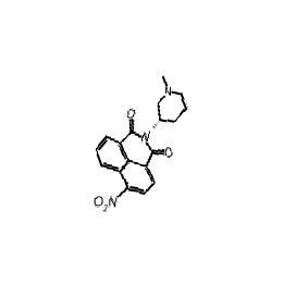 CN1CCC[C@H](N2C(=O)c3cccc4c([N+](=O)[O-])ccc(c34)C2=O)C1